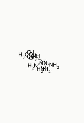 CC(C)(C)OC(=O)NCCCCC(CN(CCN)CCN)N(CCN)CCN